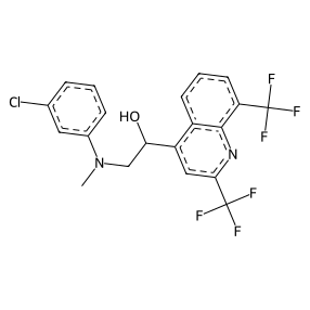 CN(CC(O)c1cc(C(F)(F)F)nc2c(C(F)(F)F)cccc12)c1cccc(Cl)c1